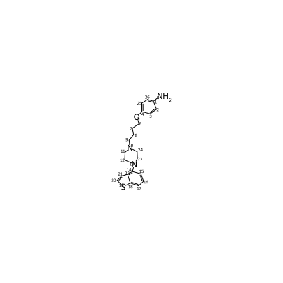 Nc1ccc(OCCCCN2CCN(c3cccc4sccc34)CC2)cc1